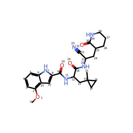 COc1cccc2[nH]c(C(=O)NC(CC3(C)CC3)C(=O)NC(C#N)CC3CCCNC3=O)cc12